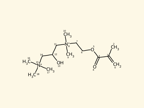 C=C(C)C(=O)OCC[N+](C)(C)CC(O)C[N+](C)(C)C